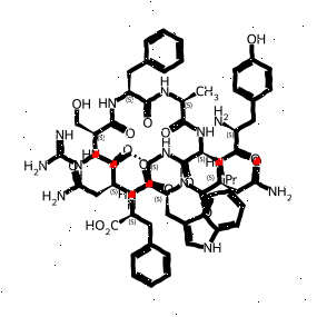 CC(C)C[C@H](NC(=O)[C@H](C)NC(=O)[C@H](Cc1ccccc1)NC(=O)[C@H](CO)NC(=O)[C@H](CC(N)=O)NC(=O)[C@H](Cc1c[nH]c2ccccc12)NC(=O)[C@H](CC(N)=O)NC(=O)[C@@H](N)Cc1ccc(O)cc1)C(=O)N[C@@H](CCCNC(=N)N)C(=O)N[C@@H](Cc1ccccc1)C(=O)O